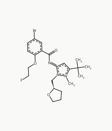 Cn1c(C(C)(C)C)c/c(=N\C(=O)c2cc(Br)ccc2OCCF)n1C[C@H]1CCCO1